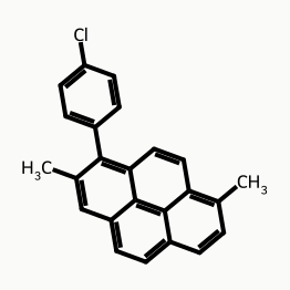 Cc1cc2ccc3ccc(C)c4ccc(c1-c1ccc(Cl)cc1)c2c34